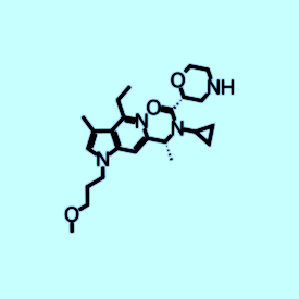 CCc1nc([C@@H](C)N(C(=O)[C@H]2CNCCO2)C2CC2)cc2c1c(C)cn2CCCOC